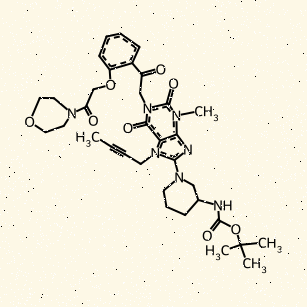 CC#CCn1c(N2CCCC(NC(=O)OC(C)(C)C)C2)nc2c1c(=O)n(CC(=O)c1ccccc1OCC(=O)N1CCOCC1)c(=O)n2C